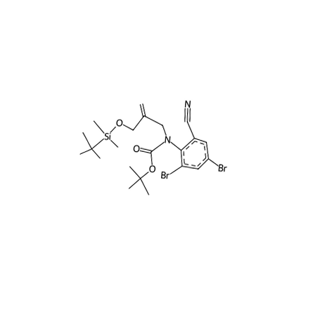 C=C(CO[Si](C)(C)C(C)(C)C)CN(C(=O)OC(C)(C)C)c1c(Br)cc(Br)cc1C#N